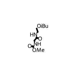 COC(=O)NCC(=O)NCCOCC(C)C